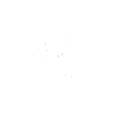 CCOc1ccc(C(F)(F)F)cc1-c1cc(-c2ccc3cc(OC)ccc3c2)n([C@H](C)c2ccc(C(=O)NCCC(=O)O)cc2)n1